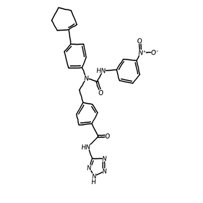 O=C(Nc1nn[nH]n1)c1ccc(CN(C(=O)Nc2cccc([N+](=O)[O-])c2)c2ccc(C3=CCCCC3)cc2)cc1